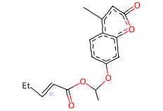 CC/C=C/C(=O)OC(C)Oc1ccc2c(C)cc(=O)oc2c1